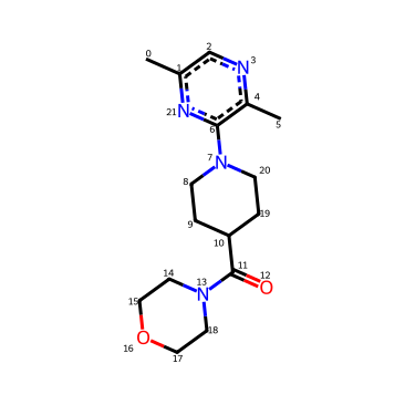 Cc1cnc(C)c(N2CCC(C(=O)N3CCOCC3)CC2)n1